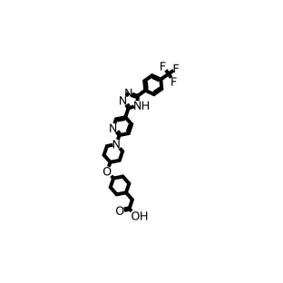 O=C(O)CC1CCC(OC2CCN(c3ccc(-c4nnc(-c5ccc(C(F)(F)F)cc5)[nH]4)cn3)CC2)CC1